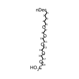 CCCCCCCCCCCCCCCOCCOCCOCCOCCOCC(=O)O